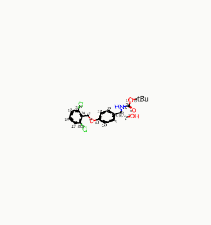 CC(C)(C)OC(=O)N[C@H](CO)c1ccc(OCc2c(Cl)cccc2Cl)cc1